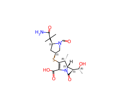 C[C@@H](O)[C@H]1C(=O)N2C(C(=O)O)=C(S[C@H]3C[C@@H](C(C)(C)C(N)=O)N(C=O)C3)[C@H](C)[C@H]12